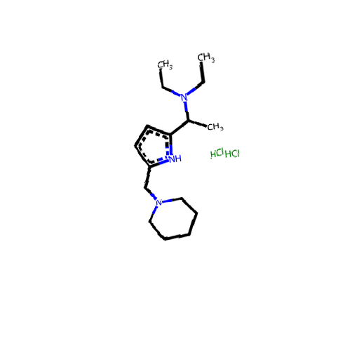 CCN(CC)C(C)c1ccc(CN2CCCCC2)[nH]1.Cl.Cl